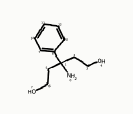 NC(CCO)(CCO)c1ccccc1